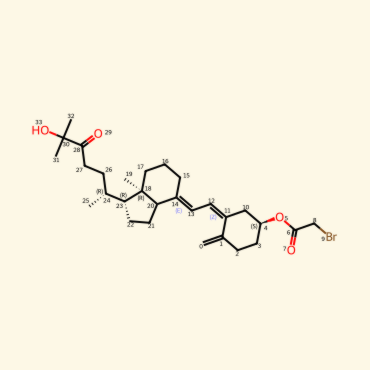 C=C1CC[C@H](OC(=O)CBr)C/C1=C/C=C1\CCC[C@@]2(C)C1CC[C@@H]2[C@H](C)CCC(=O)C(C)(C)O